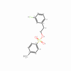 Cc1ccc(S(=O)(=O)OCCc2cccc(F)c2)cc1